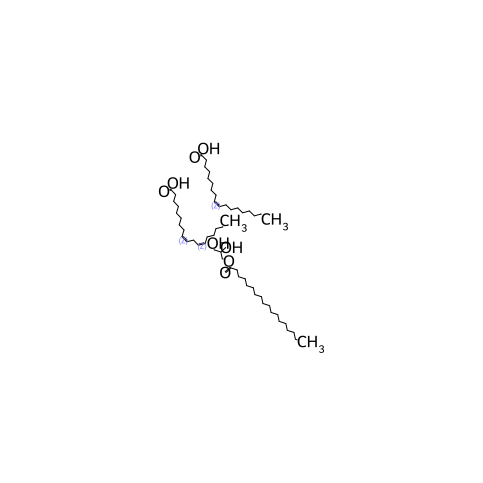 CCCCC/C=C\C/C=C\CCCCCCCC(=O)O.CCCCCCCC/C=C\CCCCCCCC(=O)O.CCCCCCCCCCCCCCCCCC(=O)OCC(O)CO